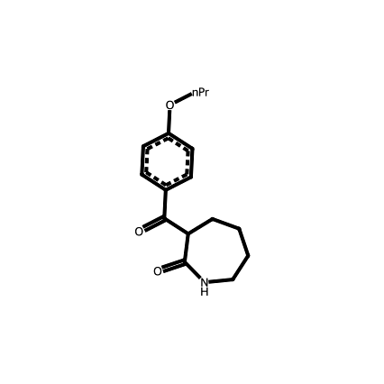 CCCOc1ccc(C(=O)C2CCCCNC2=O)cc1